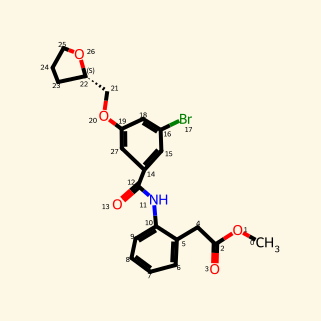 COC(=O)Cc1ccccc1NC(=O)c1cc(Br)cc(OC[C@@H]2CCCO2)c1